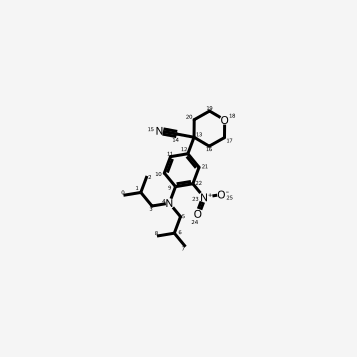 CC(C)CN(CC(C)C)c1ccc(C2(C#N)CCOCC2)cc1[N+](=O)[O-]